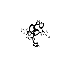 CN(C(=O)c1ccn2ncc(-c3ccc(C(N)=O)cc3)c2c1)c1ccc(Cl)c(C(=O)OCc2cncs2)c1